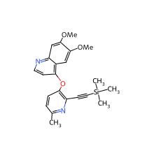 COc1cc2nccc(Oc3ccc(C)nc3C#C[Si](C)(C)C)c2cc1OC